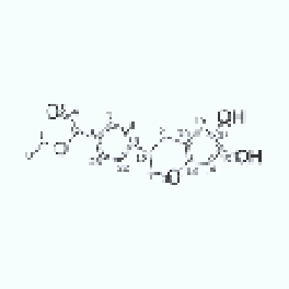 CCOC(C=O)c1ccc(C2COc3cc(O)c(O)cc3C2)cc1